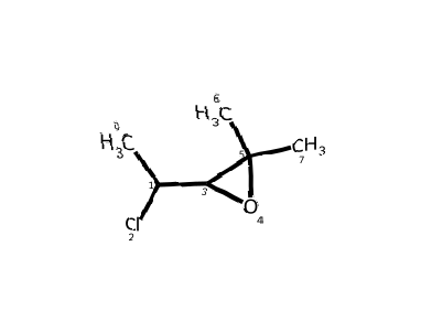 CC(Cl)C1OC1(C)C